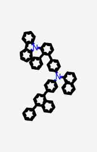 c1ccc(-c2c(-c3ccc(N(c4ccc(-c5ccc(-c6ccccc6)c6ccccc56)cc4)c4cccc5ccccc45)cc3)cccc2-n2c3ccccc3c3ccccc32)cc1